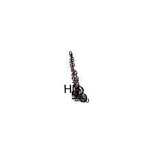 CCCCCCCCCCCCCCCCCCNC(=O)c1csc2ccc(OCC)cc12